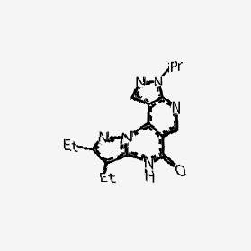 CCc1nn2c([nH]c(=O)c3cnc4c(cnn4C(C)C)c32)c1CC